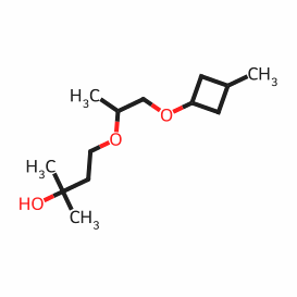 CC1CC(OCC(C)OCCC(C)(C)O)C1